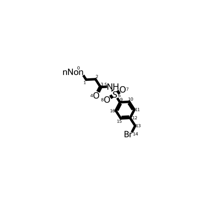 CCCCCCCCCCCC(=O)NS(=O)(=O)c1ccc(CBr)cc1